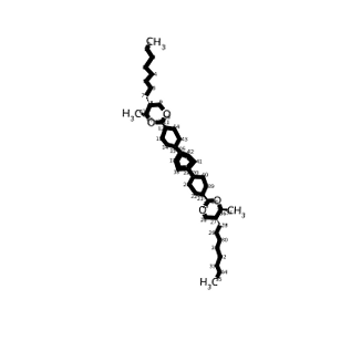 CCCCCCCC[C@@H]1CO[C@@H](C2CCC(c3ccc(C4CCC([C@@H]5OC[C@@H](CCCCCCCC)[C@H](C)O5)CC4)cc3)CC2)O[C@H]1C